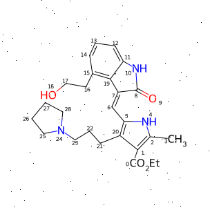 CCOC(=O)c1c(C)[nH]c(C=C2C(=O)Nc3cccc(CCO)c32)c1CCCN1CCCC1